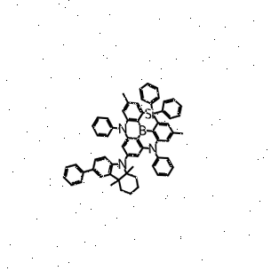 Cc1cc2c3c(c1)[Si](c1ccccc1)(c1ccccc1)c1cc(C)cc4c1B3c1c(cc(N3c5ccc(-c6ccccc6)cc5C5(C)CCCCC35C)cc1N4c1ccccc1)N2c1ccccc1